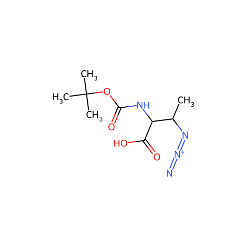 CC(N=[N+]=[N-])C(NC(=O)OC(C)(C)C)C(=O)O